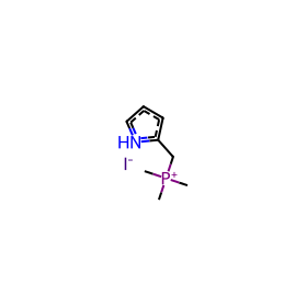 C[P+](C)(C)Cc1ccc[nH]1.[I-]